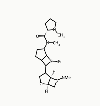 CNN1C[C@H]2OCC(C3C4CCC(N(C)C(=O)[C@@H]5CCCN5C)C4N3C(C)C)[C@H]21